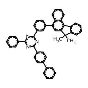 CC1(C)c2ccccc2-c2c1cc(-c1cccc(-c3nc(-c4ccccc4)nc(-c4ccc(-c5ccccc5)cc4)n3)c1)c1ccccc21